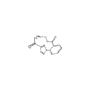 CCC(=O)c1cnn(-c2ccccc2C(=O)OOC(C)(C)C)n1